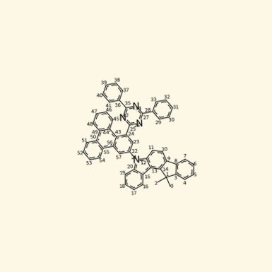 CC1(C)c2ccccc2-c2ccc3c(c21)c1ccccc1n3-c1cc(-c2nc(-c3ccccc3)nc(-c3ccccc3)n2)c2c3ccccc3c3ccccc3c2c1